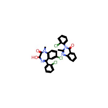 CN1C(=O)C(O)N=C(c2ccccc2Cl)c2cc(Cl)ccc21.Cc1nc2ccccc2c(=O)n1-c1ccccc1Cl